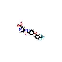 COC(=O)c1cc(NC(=O)c2ccc(Oc3cccc(C(F)(F)F)c3)cc2)ccn1